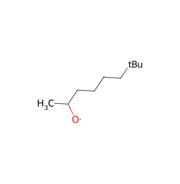 CC([O])CCCCC(C)(C)C